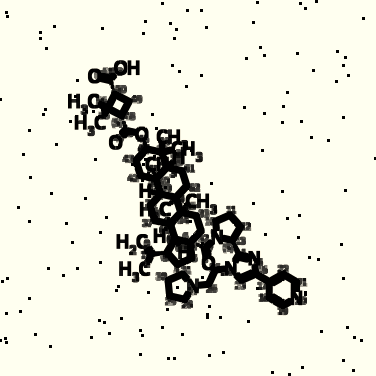 C=C(C)[C@@H]1CC[C@]2(C(=O)N3CCC[C@H]3c3nc(-c4ccncc4)cn3CCN3CCCC3)CC[C@]3(C)[C@H](CC[C@@H]4[C@@]5(C)CC[C@H](OC(=O)[C@H]6C[C@@H](C(=O)O)C6(C)C)C(C)(C)[C@@H]5CC[C@]43C)[C@@H]12